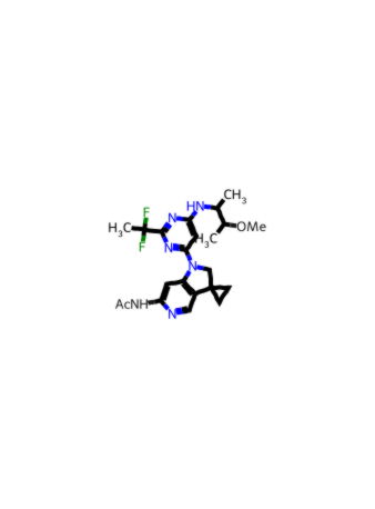 COC(C)C(C)Nc1cc(N2CC3(CC3)c3cnc(NC(C)=O)cc32)nc(C(C)(F)F)n1